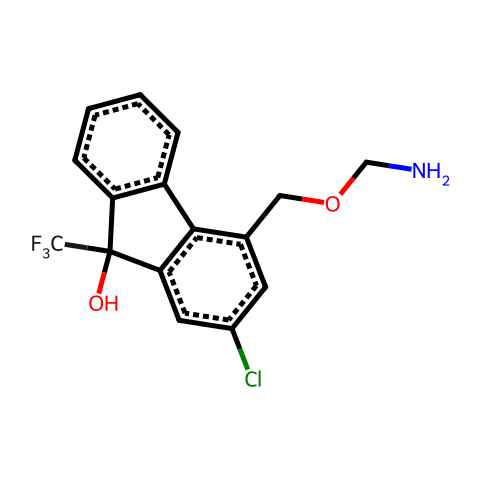 NCOCc1cc(Cl)cc2c1-c1ccccc1C2(O)C(F)(F)F